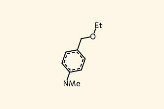 CCOCc1ccc(NC)cc1